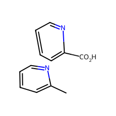 Cc1ccccn1.O=C(O)c1ccccn1